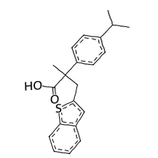 CC(C)c1ccc(C(C)(Cc2cc3ccccc3s2)C(=O)O)cc1